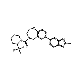 Cc1nc2ccc(-c3ccc4c(c3)CN(C(=O)N3CCCCC3C(F)(F)F)CCO4)cc2[nH]1